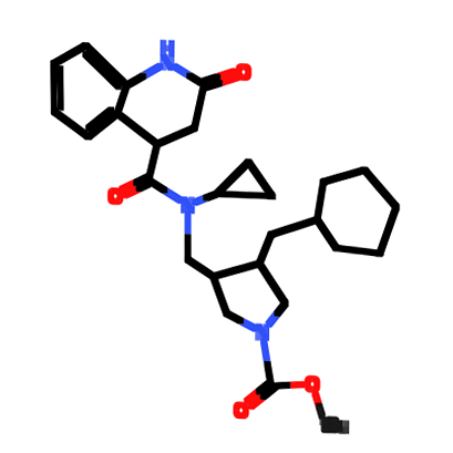 CC(C)(C)OC(=O)N1CC(CC2CCCCC2)C(CN(C(=O)C2CC(=O)Nc3ccccc32)C2CC2)C1